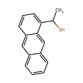 CC(S)c1cccc2cc3ccccc3cc12